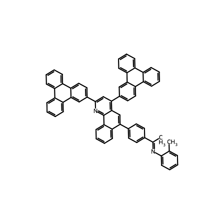 C/C(=N\c1ccccc1C)c1ccc(-c2cc3c(-c4ccc5c6ccccc6c6ccccc6c5c4)cc(-c4ccc5c6ccccc6c6ccccc6c5c4)nc3c3ccccc23)cc1